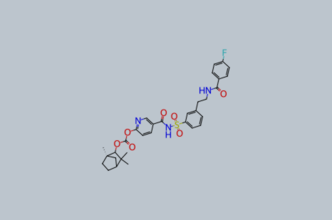 CC1(C)C2CC[C@](C)(C2)C1OC(=O)Oc1ccc(C(=O)NS(=O)(=O)c2cccc(CCNC(=O)c3ccc(F)cc3)c2)cn1